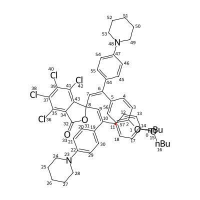 CCCCOc1ccc(C(=CC2(C=C(c3ccc(OCCCC)cc3)c3ccc(N4CCCCC4)cc3)OC(=O)c3c(Cl)c(Cl)c(Cl)c(Cl)c32)c2ccc(N3CCCCC3)cc2)cc1